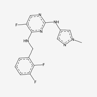 Cn1cc(Nc2ncc(F)c(NCc3cccc(F)c3F)n2)cn1